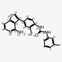 Cc1cccc(NC(=O)Nc2ccc(-c3csc4ccnc(N)c34)cc2F)c1